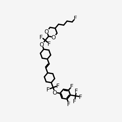 FCCCCC1COC(C(F)(F)OC2CCC(/C=C/C3CCC(C(F)(F)Oc4cc(F)c(C(F)(F)F)c(F)c4)CC3)CC2)OC1